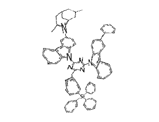 CC1CC2CC(C)N(c3ccc4c(c3)c3ccccc3n4-c3nc(-c4cccc([Si](c5ccccc5)(c5ccccc5)c5ccccc5)c4)nc(-n4c5ccccc5c5cc(-c6ccccc6)ccc54)n3)C(C1)C2